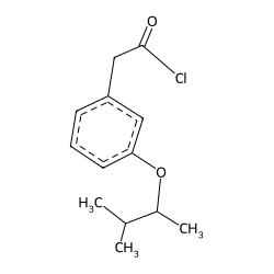 CC(C)C(C)Oc1cccc(CC(=O)Cl)c1